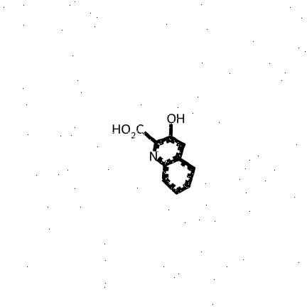 O=C(O)c1nc2ccccc2cc1O